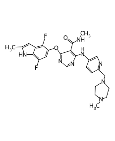 CNC(=O)c1c(Nc2ccc(CN3CCN(C)CC3)nc2)ncnc1Oc1cc(F)c2[nH]c(C)cc2c1F